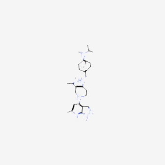 Cc1cc(N2CCc3c(c(C)nn3CC34CCC(N(C)C(C)C)(CC3)CC4)C2)c2cnn(C)c2n1